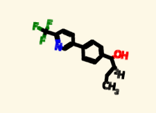 [2H]C(CC)C(O)c1ccc(-c2ccc(C(F)(F)F)nc2)cc1